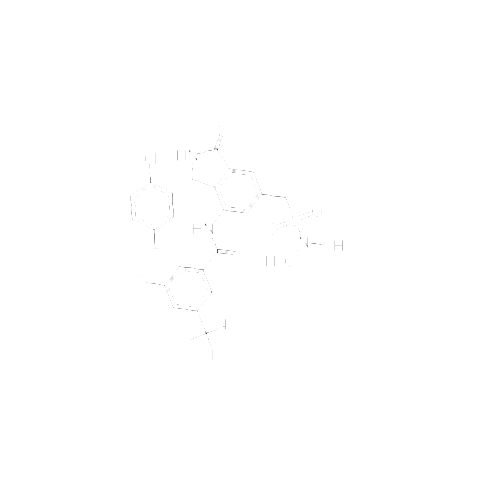 CN(C)S(=O)(=O)Cc1cc(NC(=O)c2cc(F)cc(C(F)(F)F)c2)c2c(c1)C(=O)N[C@H]2c1cc(F)ccc1Cl